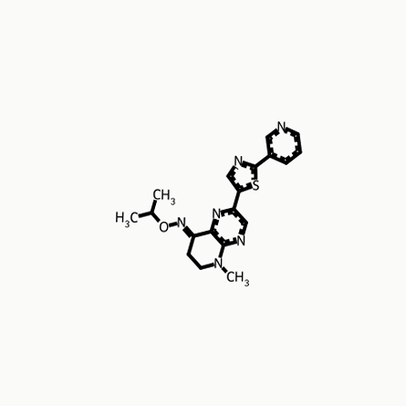 CC(C)O/N=C1\CCN(C)c2ncc(-c3cnc(-c4cccnc4)s3)nc21